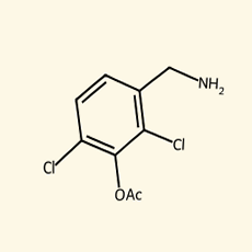 CC(=O)Oc1c(Cl)ccc(CN)c1Cl